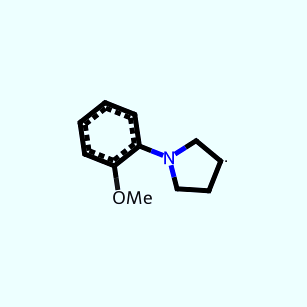 COc1ccccc1N1C[CH]CC1